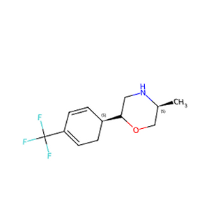 C[C@H]1COC([C@@H]2C=CC(C(F)(F)F)=CC2)CN1